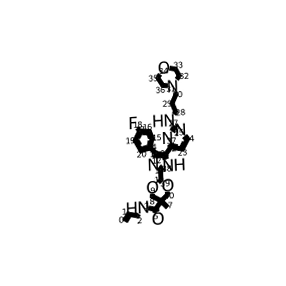 C=CCNC(=O)C1(C)COC(c2nc(-c3ccc(F)cc3)c(-c3ccnc(NCCCN4CCOCC4)n3)[nH]2)OC1